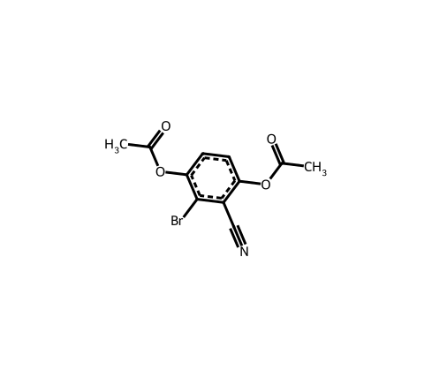 CC(=O)Oc1ccc(OC(C)=O)c(C#N)c1Br